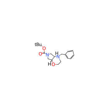 CC(C)(C)OC(=O)N1C[C@@H]2[C@@H](C1)OCCN2Cc1ccccc1